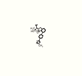 Cn1cc(-c2ccc(-c3cccc4c3C(=O)N([C@H](C3CC3)C(C)(C)O)C4)cc2)nn1